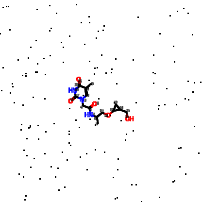 Cc1cn(CC(=O)NC(C)COC2CC2CO)c(=O)[nH]c1=O